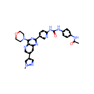 CC(=O)Nc1ccc(NC(=O)Nc2ccc(-c3nc(N4CCOCC4)c4ncc(-c5cnn(C)c5)cc4n3)cn2)cc1